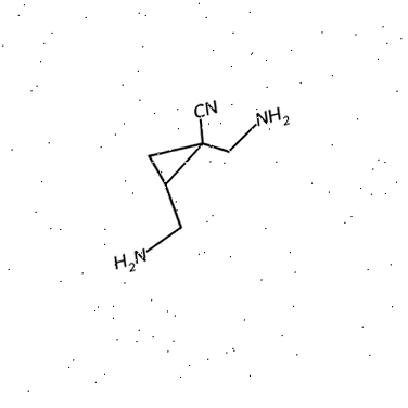 N#CC1(CN)CC1CN